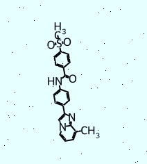 Cc1cccn2cc(-c3ccc(NC(=O)c4ccc(S(C)(=O)=O)cc4)cc3)nc12